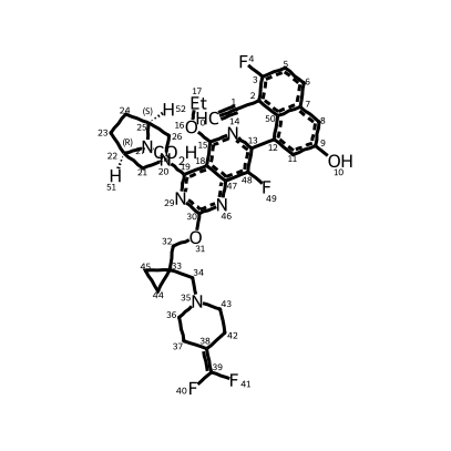 C#Cc1c(F)ccc2cc(O)cc(-c3nc(OCC)c4c(N5C[C@H]6CC[C@@H](C5)N6C(=O)O)nc(OCC5(CN6CCC(=C(F)F)CC6)CC5)nc4c3F)c12